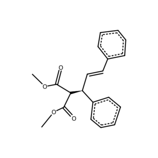 COC(=O)C(C(=O)OC)[C@@H](/C=C/c1ccccc1)c1ccccc1